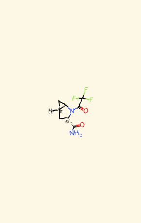 NC(=O)[C@@H]1C[C@@H]2CC2N1C(=O)C(F)(F)F